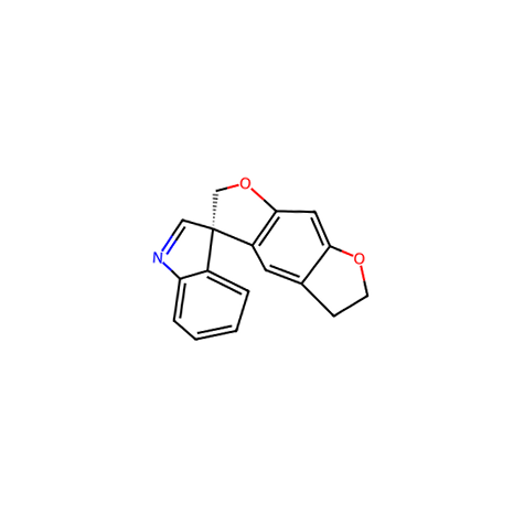 C1=Nc2ccccc2[C@@]12COc1cc3c(cc12)CCO3